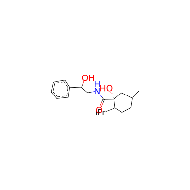 CC1CCC(C(C)C)[C@@](O)(C(=O)NCC(O)c2ccccc2)C1